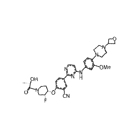 COc1cc(Nc2ccnc(-c3ccc(O[C@H]4CCN(C(=O)[C@H](C)O)C[C@H]4F)c(C#N)c3)n2)ccc1N1CCN(C2COC2)CC1